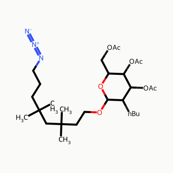 CCCCC1C(OCCC(C)(C)CC(C)(C)CCCN=[N+]=[N-])OC(COC(C)=O)C(OC(C)=O)C1OC(C)=O